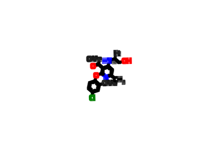 CC[C@@H](CO)Nc1cc(C)nc(Oc2ccc(Cl)cc2OC)c1C(=O)OC